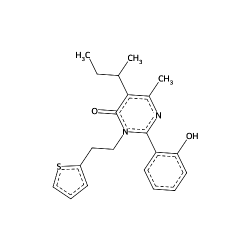 CCC(C)c1c(C)nc(-c2ccccc2O)n(CCc2cccs2)c1=O